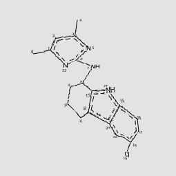 Cc1cc(C)nc(NC2CCCc3c2[nH]c2ccc(Cl)cc32)n1